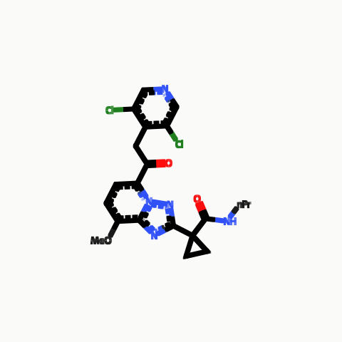 CCCNC(=O)C1(c2nc3c(OC)ccc(C(=O)Cc4c(Cl)cncc4Cl)n3n2)CC1